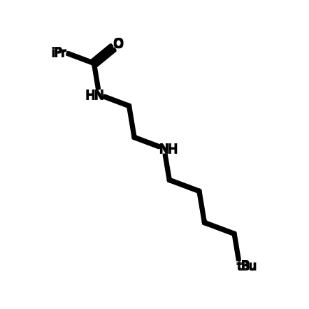 CC(C)C(=O)NCCNCCCCC(C)(C)C